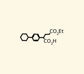 CCOC(=O)CCC(C(=O)O)c1ccc(C2CCCCC2)cc1